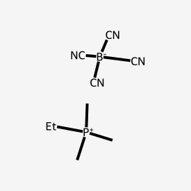 CC[P+](C)(C)C.N#C[B-](C#N)(C#N)C#N